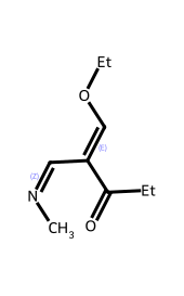 CCO/C=C(\C=N/C)C(=O)CC